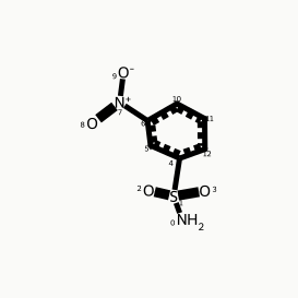 NS(=O)(=O)c1[c]c([N+](=O)[O-])ccc1